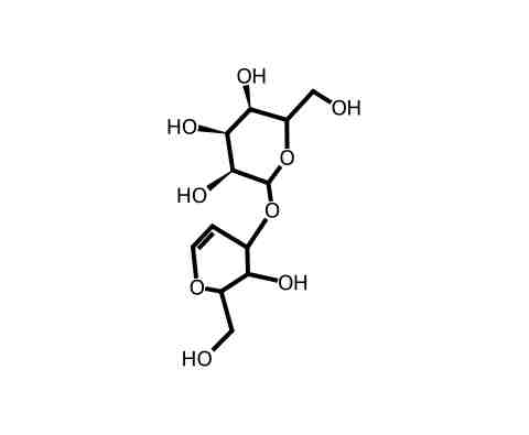 OCC1OC=CC(OC2OC(CO)[C@H](O)[C@H](O)[C@@H]2O)C1O